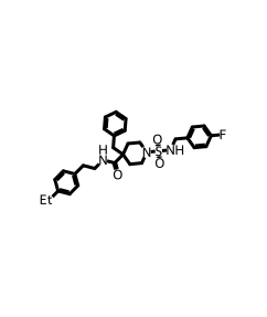 CCc1ccc(CCNC(=O)C2(Cc3ccccc3)CCN(S(=O)(=O)NCc3ccc(F)cc3)CC2)cc1